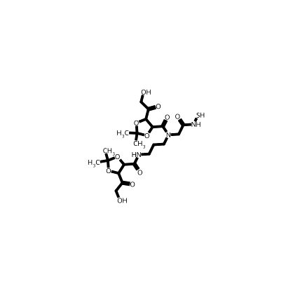 CC1(C)OC(C(=O)CO)C(C(=O)NCCCN(CC(=O)NS)C(=O)C2OC(C)(C)OC2C(=O)CO)O1